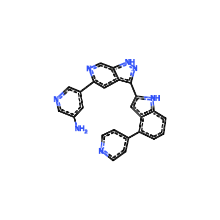 Nc1cncc(-c2cc3c(-c4cc5c(-c6ccncc6)cccc5[nH]4)n[nH]c3cn2)c1